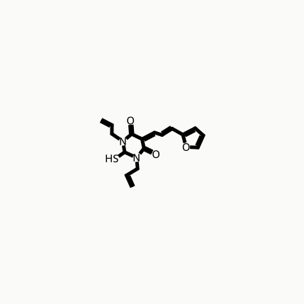 C=CCN1C(=O)C(=C/C=C/c2ccco2)C(=O)N(CC=C)C1S